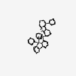 c1ccc(-c2cccc3sc4c(Nc5cccc6c5C(c5ccccc5)(c5ccccc5)c5ccccc5-6)cccc4c23)cc1